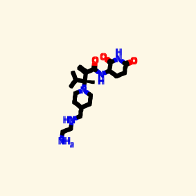 C=C(C(=O)NC1CCC(=O)NC1=O)[C@@](C)(C(C)C)N1CCC(CNCCN)CC1